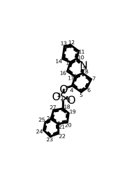 O=S(=O)(Oc1cccc2nc3ccccc3cc12)c1ccc2ccccc2c1